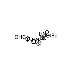 CC(C)(C)OC(=O)Nc1nc(C(=O)Nc2cc(-c3ccc(C=O)nc3)ccc2Cl)co1